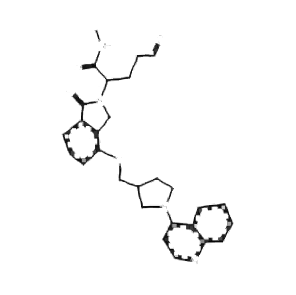 CNC(=O)C(CCC=O)N1Cc2c(OCC3CCN(c4ccnc5ccccc45)C3)cccc2C1=O